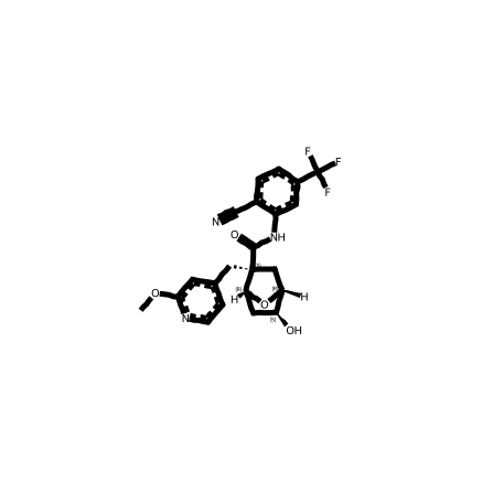 COc1cc(C[C@]2(C(=O)Nc3cc(C(F)(F)F)ccc3C#N)C[C@H]3O[C@@H]2C[C@@H]3O)ccn1